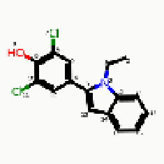 CCn1c(-c2cc(Cl)c(O)c(Cl)c2)cc2ccccc21